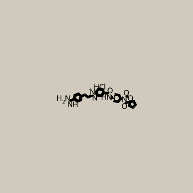 Cl.Cn1c(CCc2ccc(C(=N)N)cc2)nc2cc(C(=O)NN3CCC(N4C(=O)OC5(CCCC5)C4=O)CC3)ccc21